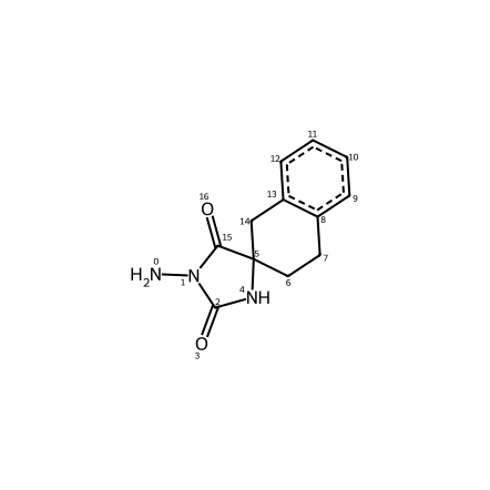 NN1C(=O)NC2(CCc3ccccc3C2)C1=O